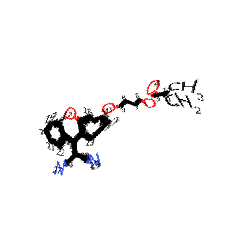 C=C(C)C(=O)OCCCCOc1ccc2c(c1)Oc1ccccc1C2=C(C#N)C#N